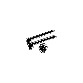 CCCCCCCCCCCCCCCC[n+]1ccn(C)c1.CCCCCCCCCCCCCCCC[n+]1ccn(C)c1.O=S(=O)([O-])C(F)(F)C(F)F.[Cl-]